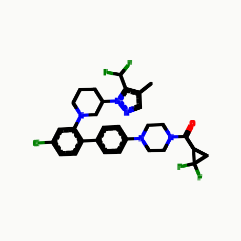 Cc1cnn(C2CCCN(c3cc(Cl)ccc3-c3ccc(N4CCN(C(=O)C5CC5(F)F)CC4)cc3)C2)c1C(F)F